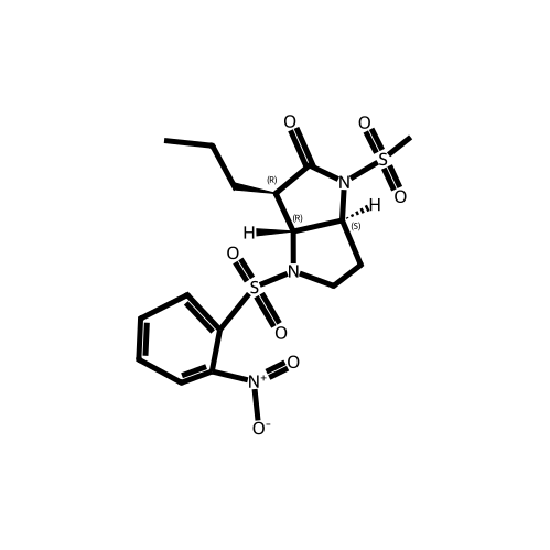 CCC[C@H]1C(=O)N(S(C)(=O)=O)[C@H]2CCN(S(=O)(=O)c3ccccc3[N+](=O)[O-])[C@H]12